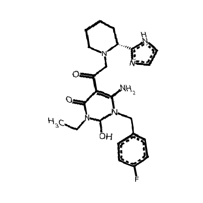 CCN1C(=O)C(C(=O)CN2CCCC[C@@H]2c2ncc[nH]2)=C(N)N(Cc2ccc(F)cc2)C1O